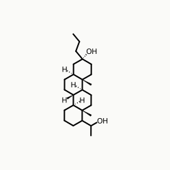 CCC[C@@]1(O)CC[C@@]2(C)[C@@H](CC[C@@H]3[C@@H]2CC[C@]2(C)C(C(C)O)CCC[C@@H]32)C1